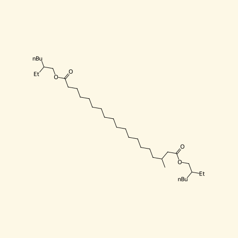 CCCCC(CC)COC(=O)CCCCCCCCCCCCCCCC(C)CC(=O)OCC(CC)CCCC